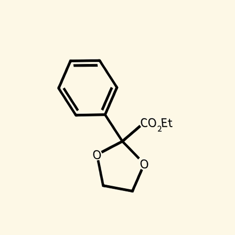 CCOC(=O)C1(c2ccccc2)OCCO1